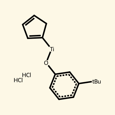 CC(C)(C)c1cccc([O][Ti][C]2=CC=CC2)c1.Cl.Cl